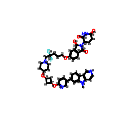 Cn1c2ccncc2c2ccc(-c3ccc(O[C@H]4C[C@H](OC5CCN(CC(F)(F)CCCOc6ccc7c(c6)C(=O)N(C6CCC(=O)NC6=O)C7=O)CC5)C4)nc3)cc21